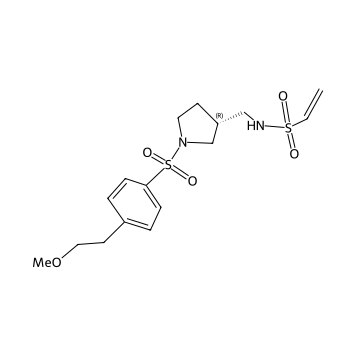 C=CS(=O)(=O)NC[C@H]1CCN(S(=O)(=O)c2ccc(CCOC)cc2)C1